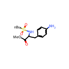 CCCCS(=O)(=O)NC(Cc1ccc(N)cc1)C(=O)OC